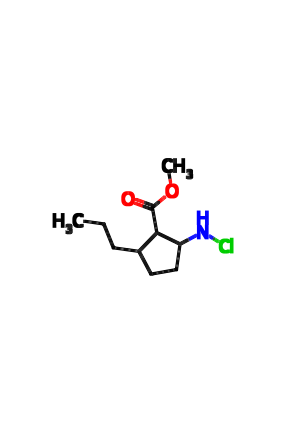 CCCC1CCC(NCl)C1C(=O)OC